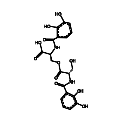 O=C(N[C@@H](COC(=O)[C@H](CO)NC(=O)c1cccc(O)c1O)C(=O)O)c1cccc(O)c1O